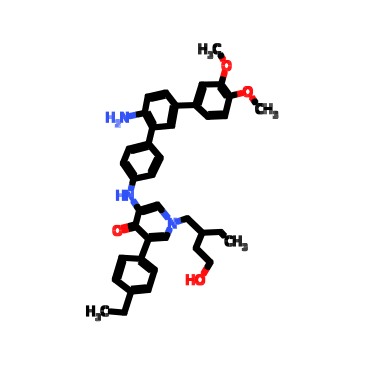 CCc1ccc(-c2cn(CC(CC)CCO)cc(Nc3ccc(-c4cc(-c5ccc(OC)c(OC)c5)ccc4N)cc3)c2=O)cc1